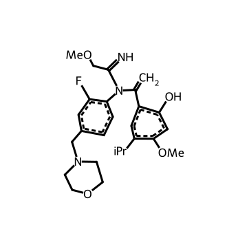 C=C(c1cc(C(C)C)c(OC)cc1O)N(C(=N)COC)c1ccc(CN2CCOCC2)cc1F